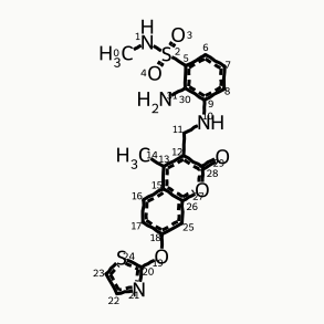 CNS(=O)(=O)c1cccc(NCc2c(C)c3ccc(Oc4nccs4)cc3oc2=O)c1N